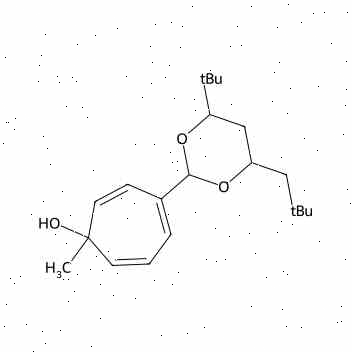 CC1(O)C=CC=C(C2OC(CC(C)(C)C)CC(C(C)(C)C)O2)C=C1